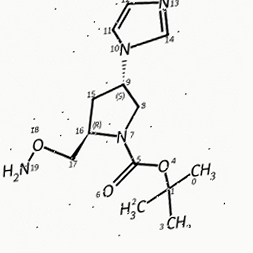 CC(C)(C)OC(=O)N1C[C@@H](n2ccnc2)C[C@@H]1CON